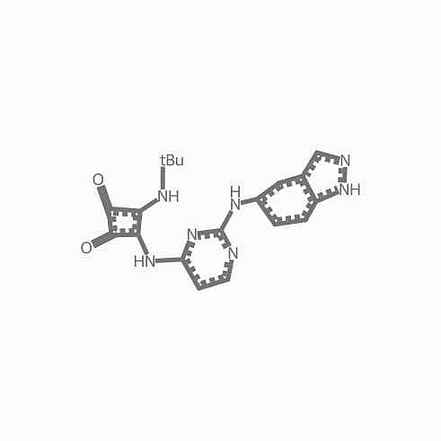 CC(C)(C)Nc1c(Nc2ccnc(Nc3ccc4[nH]ncc4c3)n2)c(=O)c1=O